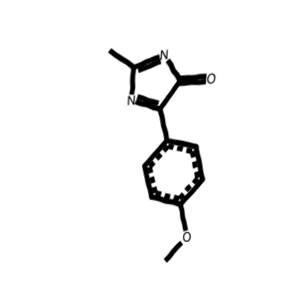 COc1ccc(C2=NC(C)=NC2=O)cc1